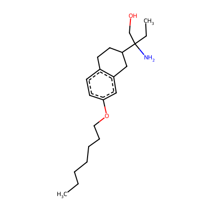 CCCCCCCOc1ccc2c(c1)CC(C(N)(CC)CO)CC2